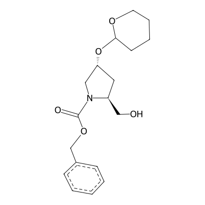 O=C(OCc1ccccc1)N1C[C@H](OC2CCCCO2)C[C@H]1CO